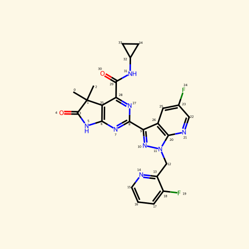 CC1(C)C(=O)Nc2nc(-c3nn(Cc4ncccc4F)c4ncc(F)cc34)nc(C(=O)NC3CC3)c21